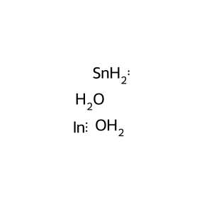 O.O.[In].[SnH2]